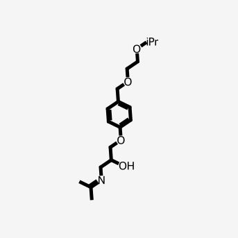 CC(C)=NCC(O)COc1ccc(COCCOC(C)C)cc1